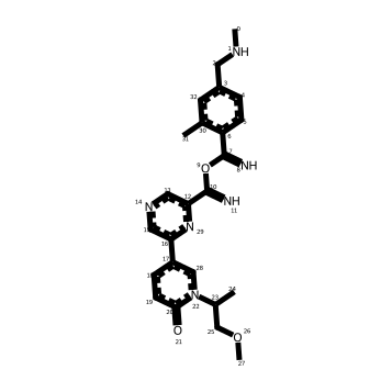 CNCc1ccc(C(=N)OC(=N)c2cncc(-c3ccc(=O)n(C(C)COC)c3)n2)c(C)c1